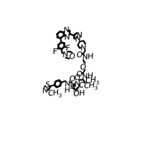 Cc1ncsc1-c1ccc(CNC(=O)[C@@H]2C[C@@H](O)CN2C(=O)C(NC(=O)COCCNC(=O)CN2CCC(n3cc(-c4cnc5cccc(-c6cc(F)c(CN7CCOCC7)c(F)c6)c5n4)cn3)CC2)C(C)(C)C)cc1